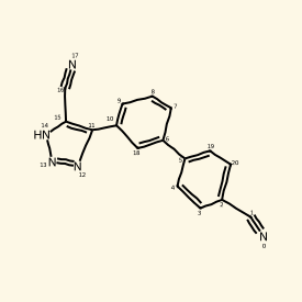 N#Cc1ccc(-c2cccc(-c3nn[nH]c3C#N)c2)cc1